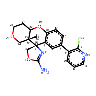 NC1=N[C@@]2(CO1)c1cc(-c3cccnc3F)ccc1OC1CCOC[C@H]12